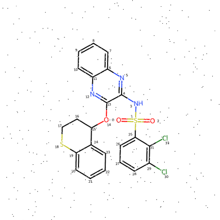 O=S(=O)(Nc1nc2ccccc2nc1OC1CCSc2ccccc21)c1cccc(Cl)c1Cl